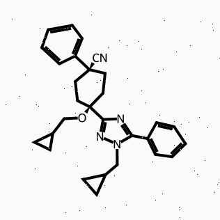 N#C[C@]1(c2ccccc2)CC[C@@](OCC2CC2)(c2nc(-c3ccccc3)n(CC3CC3)n2)CC1